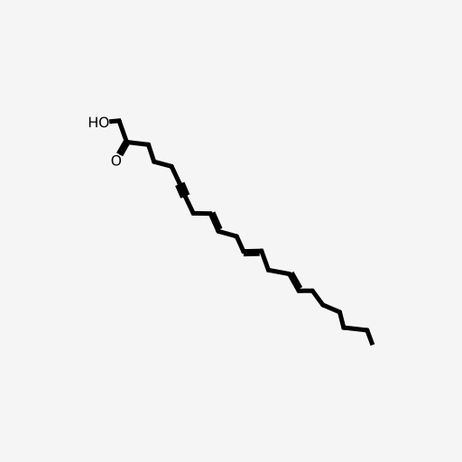 CCCCCC/C=C/C/C=C/C/C=C/CC#CCCCC(=O)CO